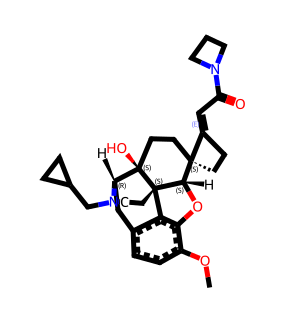 COc1ccc2c3c1O[C@H]1[C@@]4(CC/C4=C\C(=O)N4CCC4)CC[C@@]4(O)[C@@H](C2)N(CC2CC2)CC[C@]314